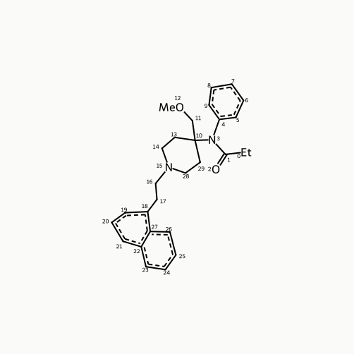 CCC(=O)N(c1ccccc1)C1(COC)CCN(CCc2cccc3ccccc23)CC1